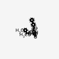 Cc1cccc(C(C)C(=O)C=C=C2C(OC(=O)c3ccc(-c4ccccc4)cc3)C[C@@H]3OC(=O)C[C@H]23)c1